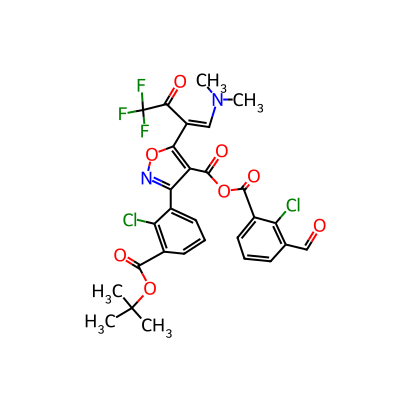 CN(C)/C=C(\C(=O)C(F)(F)F)c1onc(-c2cccc(C(=O)OC(C)(C)C)c2Cl)c1C(=O)OC(=O)c1cccc(C=O)c1Cl